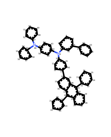 c1ccc(-c2cccc(N(c3ccc(-c4ccc5c(-c6ccccc6)c6ccccc6c(-c6ccccc6)c5c4)cc3)c3ccc(N(c4ccccc4)c4ccccc4)cc3)c2)cc1